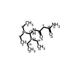 CCP(CC)C(NC(=O)CC(N)=O)P(CC)CC